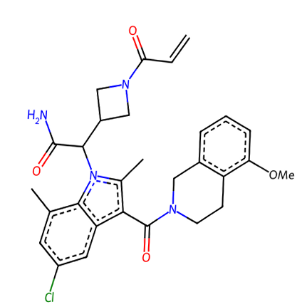 C=CC(=O)N1CC(C(C(N)=O)n2c(C)c(C(=O)N3CCc4c(cccc4OC)C3)c3cc(Cl)cc(C)c32)C1